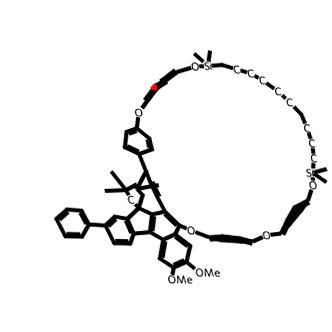 COc1cc2c3c(c4c(c2cc1OC)-c1ccc(-c2ccccc2)cc1C41CC(C)(C)CC(C)(C)C1)/C=C\c1ccc(cc1)Oc1ccc(cc1)O[Si](C)(C)CCCCCCCCCC[Si](C)(C)Oc1ccc(cc1)Oc1ccc(cc1)O3